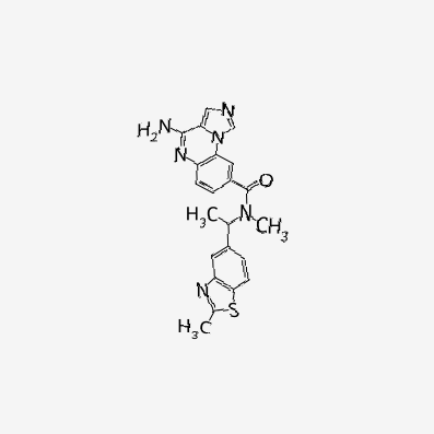 Cc1nc2cc(C(C)N(C)C(=O)c3ccc4nc(N)c5cncn5c4c3)ccc2s1